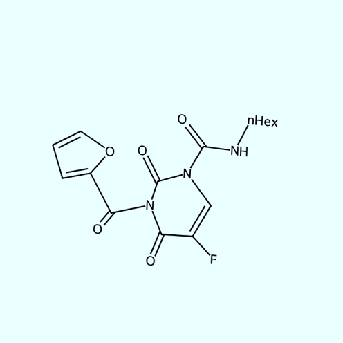 CCCCCCNC(=O)n1cc(F)c(=O)n(C(=O)c2ccco2)c1=O